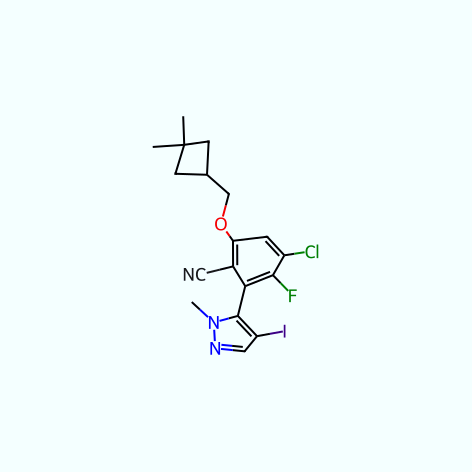 Cn1ncc(I)c1-c1c(F)c(Cl)cc(OCC2CC(C)(C)C2)c1C#N